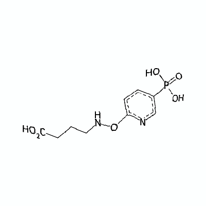 O=C(O)CCCNOc1ccc(P(=O)(O)O)cn1